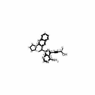 CC(c1cc2ccccc2nc1N1CCCC1)n1nc(C#C[C@@H](C)O)c2c(N)ncnc21